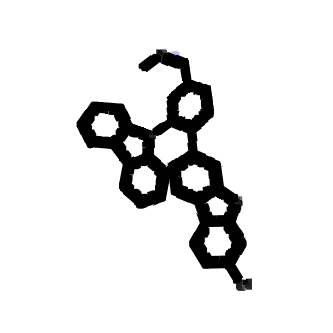 C/N=C\c1ccc(-c2ccc3c(c2)sc2cc(C#N)ccc23)c(-n2c3ccccc3c3ccccc32)c1